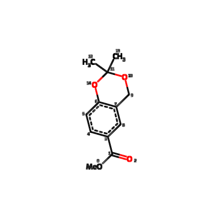 COC(=O)c1ccc2c(c1)COC(C)(C)O2